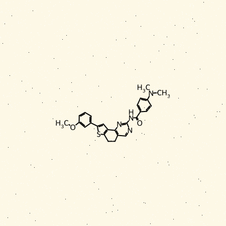 COc1cccc(-c2cc3c(s2)CCc2cnc(NC(=O)c4ccc(N(C)C)cc4)nc2-3)c1